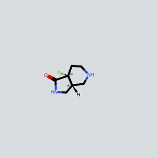 O=C1NC[C@H]2CNCC[C@@]12F